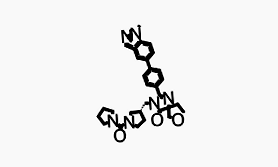 Cn1ncc2cc(-c3ccc(C4=NC5(CCOC5)C(=O)N4C[C@@H]4CCN(C(=O)N5CCCC5)C4)cc3)ccc21